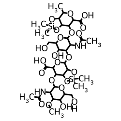 COC1C(O)C(CO)OC(OC2C(C(=O)O)OC(OC3C(O)C(CO)OC(OC4C(C(=O)O)OC(C)C5O[Si](C)(C)OC54)C3NC(C)=O)C3O[Si](C)(C)OC32)C1NC(C)=O